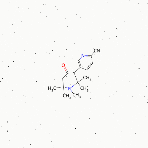 CN1C(C)(C)CC(=O)C(c2ccc(C#N)nc2)C1(C)C